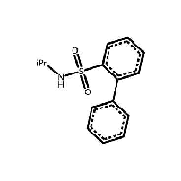 CC(C)NS(=O)(=O)c1ccccc1-c1ccccc1